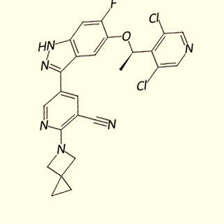 C[C@@H](Oc1cc2c(-c3cnc(N4CC5(CC5)C4)c(C#N)c3)n[nH]c2cc1F)c1c(Cl)cncc1Cl